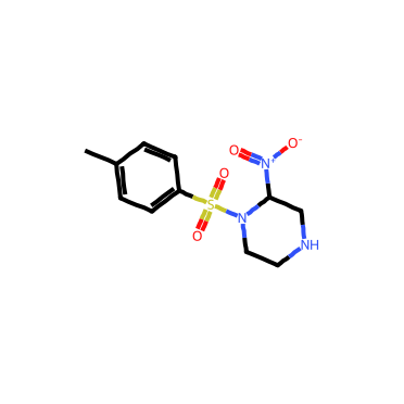 Cc1ccc(S(=O)(=O)N2CCNCC2[N+](=O)[O-])cc1